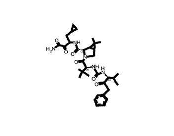 CC(C)[C@H](NC(=O)N[C@H](C(=O)N1CC2C([C@H]1C(=O)NC(CC1CC1)C(=O)C(N)=O)C2(C)C)C(C)(C)C)C(=O)Cc1ccccc1